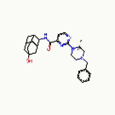 C[C@@H]1CN(Cc2ccccc2)CCN1c1nccc(C(=O)NC2C3CC4CC2CC(O)(C4)C3)n1